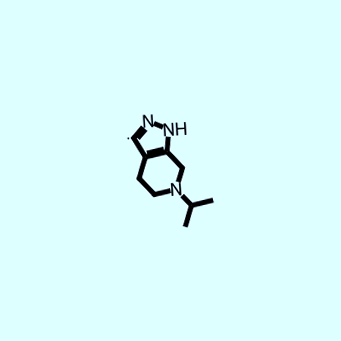 CC(C)N1CCc2[c]n[nH]c2C1